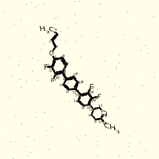 C/C=C/COc1ccc(-c2ccc(-c3ccc(C4CCC(C)OC4)c(F)c3F)cc2)c(F)c1F